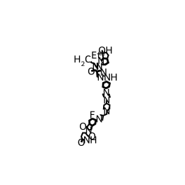 C=CCn1c(=O)c2cnc(Nc3ccc(N4CCN(C5CCN(CC6CN(c7cc8c(cc7F)C(=O)N(C7CCC(=O)NC7=O)C8)C6)CC5)CC4)cc3)nc2n1-c1ccc2c(n1)[C@](O)(CC)CC2